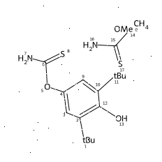 C.CC(C)(C)c1cc(OC(N)=S)cc(C(C)(C)C)c1O.COC(N)=S